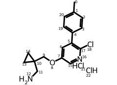 Cc1ccc(-c2cc(OCC3(CN)CC3)cnc2Cl)cc1.Cl.Cl